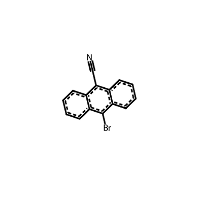 N#Cc1c2ccccc2c(Br)c2ccccc12